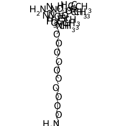 CC(C)(C)[Si](C)(C)OC[C@H]1O[C@@H](n2cnc3c(N)ncnc32)[C@H](OCC(=O)NCCOCCOCCOCCOCCOCCOCCOCCOCCOCCOCCN)[C@@H]1O[Si](C)(C)C(C)(C)C